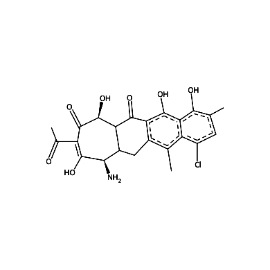 CC(=O)C1=C(O)[C@H](N)C2Cc3c(c(O)c4c(O)c(C)cc(Cl)c4c3C)C(=O)C2[C@H](O)C1=O